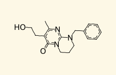 Cc1nc2n(c(=O)c1CCO)CCCN2Cc1ccccc1